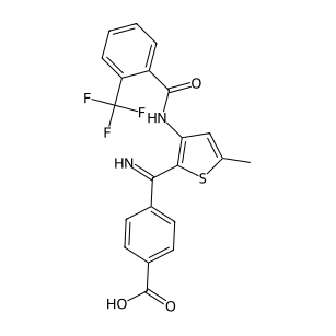 Cc1cc(NC(=O)c2ccccc2C(F)(F)F)c(C(=N)c2ccc(C(=O)O)cc2)s1